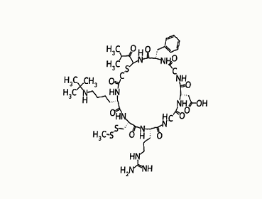 CSSC[C@@H]1NC(=O)[C@H](CCCCNC(C)(C)C)NC(=O)CSC(C(=O)C(C)C)NC(=O)[C@H](Cc2ccccc2)NC(=O)CNC(=O)[C@H](CC(=O)O)NC(=O)CNC(=O)[C@H](CCCNC(=N)N)NC1=O